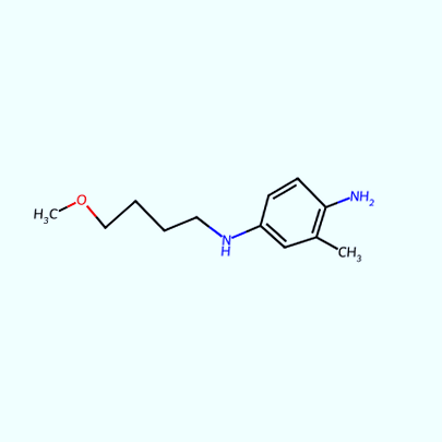 COCCCCNc1ccc(N)c(C)c1